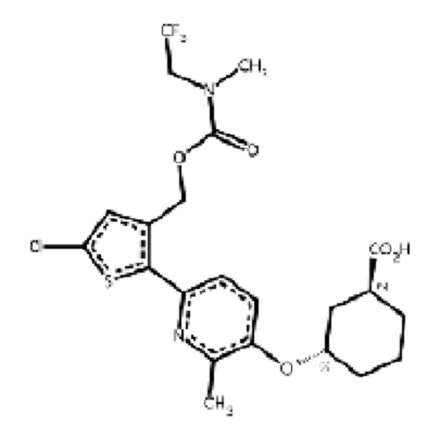 Cc1nc(-c2sc(Cl)cc2COC(=O)N(C)CC(F)(F)F)ccc1O[C@H]1CCC[C@H](C(=O)O)C1